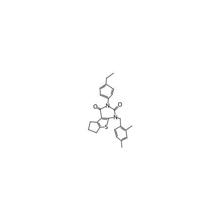 CCc1ccc(-n2c(=O)c3c4c(sc3n(Cc3ccc(C)cc3C)c2=O)CCC4)cc1